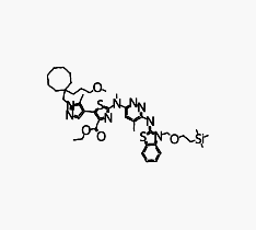 CCOC(=O)c1nc(N(C)c2cc(C)c(/N=c3\sc4ccccc4n3COCC[Si](C)(C)C)nn2)sc1-c1cnn(CC2(CCCOC)CCCCCCC2)c1C